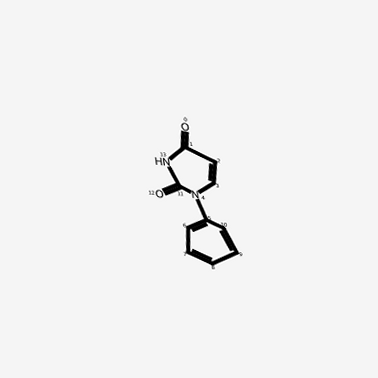 O=c1ccn(-c2cc[c]cc2)c(=O)[nH]1